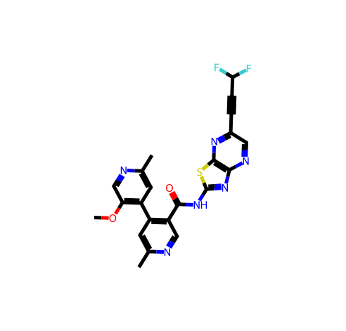 COc1cnc(C)cc1-c1cc(C)ncc1C(=O)Nc1nc2ncc(C#CC(F)F)nc2s1